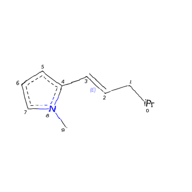 CC(C)C/C=C/c1cccn1C